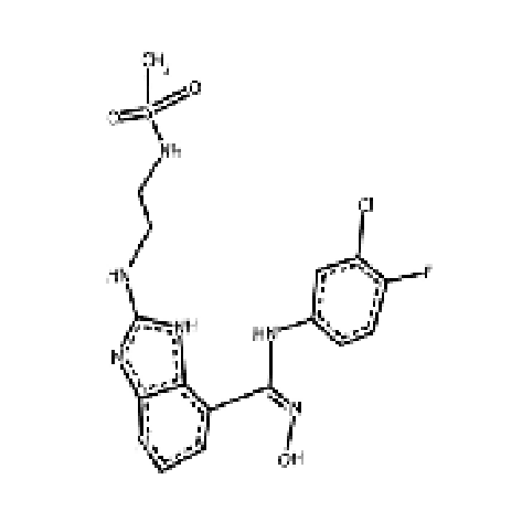 CS(=O)(=O)NCCNc1nc2nccc(/C(=N\O)Nc3ccc(F)c(Cl)c3)c2[nH]1